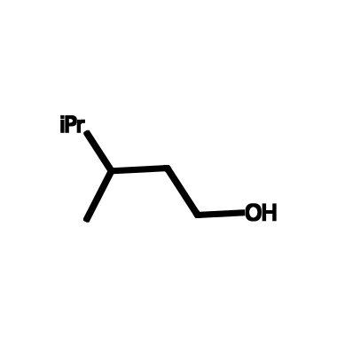 CC(C)C(C)CCO